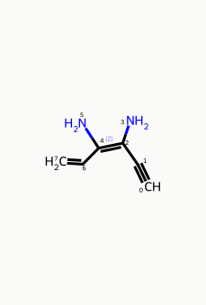 C#C/C(N)=C(/N)C=C